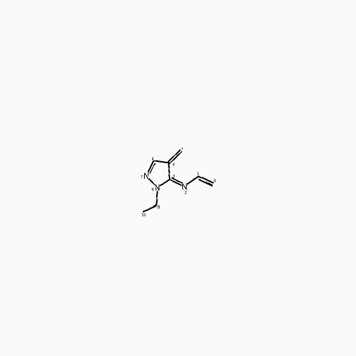 C=C/N=C1\C(=C)C=NN1CC